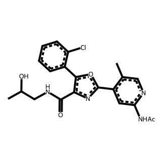 CC(=O)Nc1cc(-c2nc(C(=O)NCC(C)O)c(-c3ccccc3Cl)o2)c(C)cn1